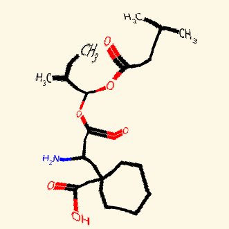 CC(C)CC(=O)OC(OC(=O)C(N)C1(C(=O)O)CCCCC1)C(C)C